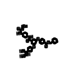 CC(C)(C)OC(=O)NC1CCC(NC(=O)c2cc(Oc3ccc(C(=N)NO)cc3)cc(Oc3ccc(C(=O)OCc4ccccc4)cc3)c2)CC1